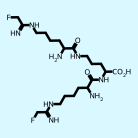 N=C(CF)NCCCCC(N)C(=O)NCCCC(NC(=O)C(N)CCCCNC(=N)CF)C(=O)O